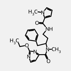 CCOc1nccc(C(=O)N(C)C(CCNC(=O)c2cccn2C)Cc2ccccc2)n1